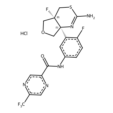 Cl.NC1=N[C@@]2(c3cc(NC(=O)c4cnc(C(F)(F)F)cn4)ccc3F)COC[C@@]2(F)CS1